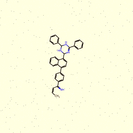 C/C=C\C(=N)c1ccc(-c2ccc(C3N=C(c4ccccc4)NC(c4ccccc4)N3)c3ccccc23)cc1